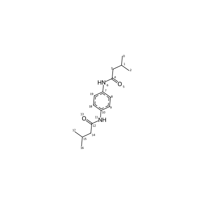 CC(C)CC(=O)Nc1ccc(NC(=O)CC(C)C)cc1